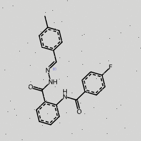 Cc1ccc(/C=N/NC(=O)c2ccccc2NC(=O)c2ccc(F)cc2)cc1